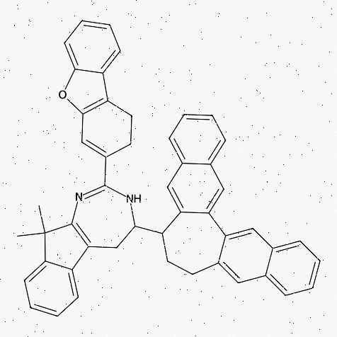 CC1(C)C2=C(CC(C3CCc4cc5ccccc5cc4-c4cc5ccccc5cc43)NC(C3=Cc4oc5ccccc5c4CC3)=N2)c2ccccc21